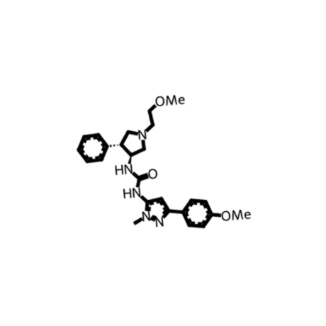 COCCN1C[C@@H](NC(=O)Nc2cc(-c3ccc(OC)cc3)nn2C)[C@H](c2ccccc2)C1